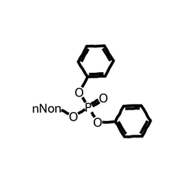 CCCCCCCCCOP(=O)(Oc1ccccc1)Oc1ccccc1